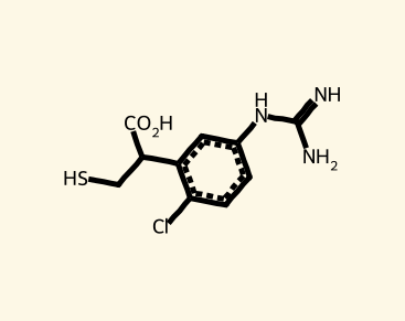 N=C(N)Nc1ccc(Cl)c(C(CS)C(=O)O)c1